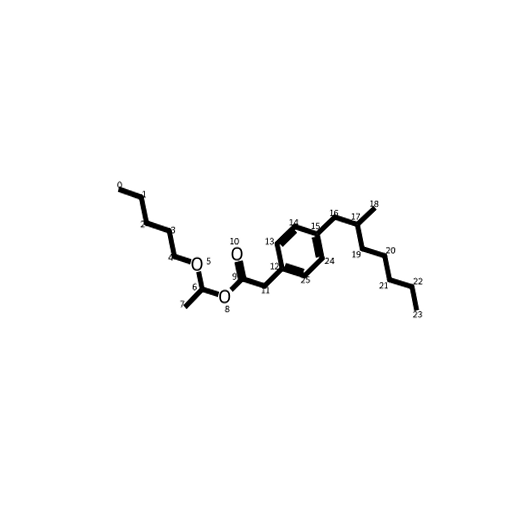 CCCCCOC(C)OC(=O)Cc1ccc(CC(C)CCCCC)cc1